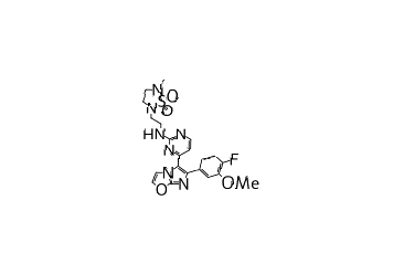 COc1cc(-c2nc3occn3c2-c2ccnc(NCCN3CCN(C)S3(=O)=O)n2)ccc1F